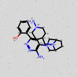 Nc1nnc(-c2ccccc2O)cc1N1CC2CCC(C1)N2CC1CCN(N)CC1